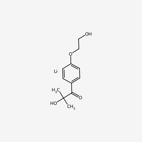 CC(C)(O)C(=O)c1ccc(OCCO)cc1.[Li]